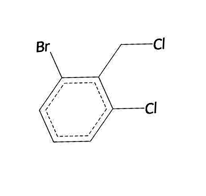 ClCc1c(Cl)cccc1Br